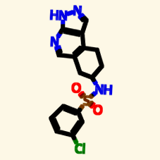 O=S(=O)(NC1CCc2c(cnc3[nH]ncc23)C1)c1cccc(Cl)c1